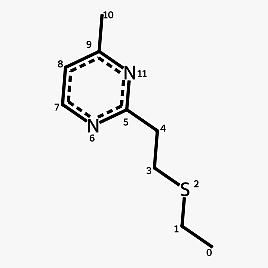 CCSCCc1nccc(C)n1